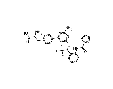 Nc1nc(OC(c2ccccc2NC(=O)c2ccco2)C(F)(F)F)cc(-c2ccc(C[C@H](N)C(=O)O)cc2)n1